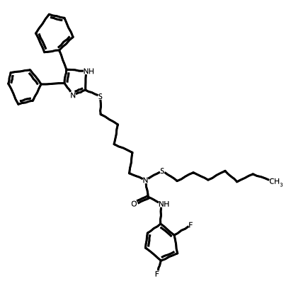 CCCCCCCSN(CCCCCSc1nc(-c2ccccc2)c(-c2ccccc2)[nH]1)C(=O)Nc1ccc(F)cc1F